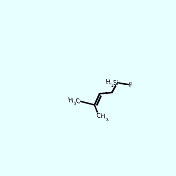 CC(C)=CC[SiH2]F